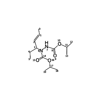 C/C=C/C(CC)N(NC(=O)OC(C)C)C(=O)OC(C)C